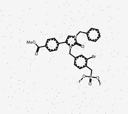 COC(=O)c1ccc(-c2cn(Cc3ccccc3)c(=O)n2Cc2ccc(CP(=O)(OF)OF)c(Br)c2)cc1